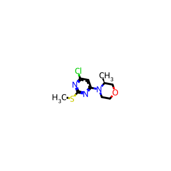 CSc1nc(Cl)cc(N2CCOC[C@@H]2C)n1